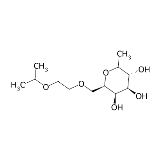 CC(C)OCCOC[C@H]1OC(C)[C@H](O)[C@@H](O)[C@H]1O